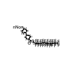 CCCCCCCCCc1ccc(-c2ccc(C(=O)OCC(F)(F)C(F)(F)C(F)(F)C(F)(F)C(F)(F)C(F)(F)C(F)(F)C(F)(F)C(F)(F)C(F)F)cc2)nc1